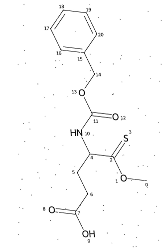 COC(=S)C(CCC(=O)O)NC(=O)OCc1ccccc1